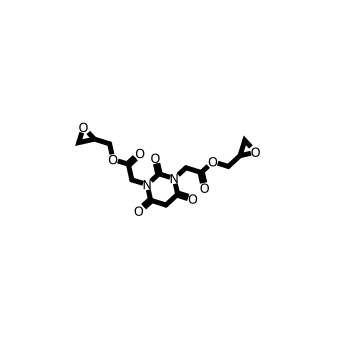 O=C(CN1C(=O)CC(=O)N(CC(=O)OCC2CO2)C1=O)OCC1CO1